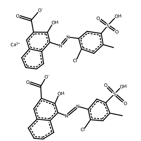 Cc1cc(Cl)c(N=Nc2c(O)c(C(=O)[O-])cc3ccccc23)cc1S(=O)(=O)O.Cc1cc(Cl)c(N=Nc2c(O)c(C(=O)[O-])cc3ccccc23)cc1S(=O)(=O)O.[Ca+2]